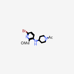 COc1nc(Br)ccc1NC1CCN(C(C)=O)CC1